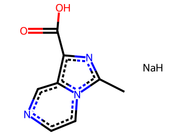 Cc1nc(C(=O)O)c2cnccn12.[NaH]